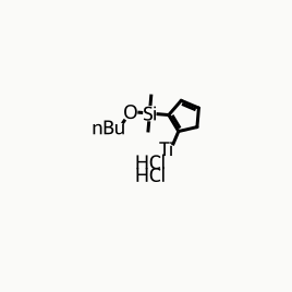 CCCCO[Si](C)(C)C1=[C]([Ti])CC=C1.Cl.Cl